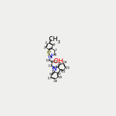 Cc1ccc2c(c1)CCN(CC(O)Cn1c3ccccc3c3ccccc31)S2